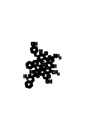 C[C@H](NC(=O)[C@H](CC(N)=O)NC(=O)[C@H](C)NC(=O)[C@H](CC(=O)O)NC(=O)[C@H](Cc1ccccc1)NC(=O)[C@@H](N)Cc1ccccc1)C(=O)N[C@@H](Cc1ccc(O)cc1)C(=O)N1CCC[C@H]1C(=O)O